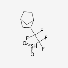 O=[SH](=O)C(F)(F)C(F)(F)C1CC2CCC1C2